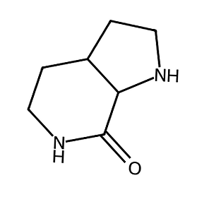 O=C1NCCC2CCNC12